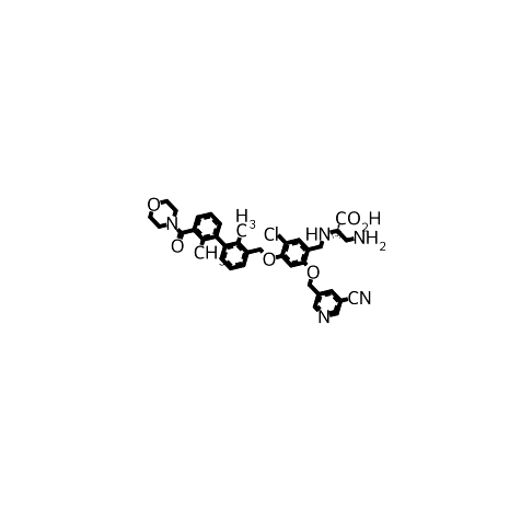 Cc1c(COc2cc(OCc3cncc(C#N)c3)c(CN[C@@H](CN)C(=O)O)cc2Cl)cccc1-c1cccc(C(=O)N2CCOCC2)c1C